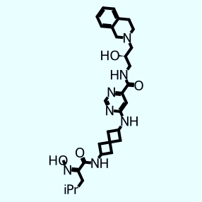 CC(C)C/C(=N/O)C(=O)NC1CC2(C1)CC(Nc1cc(C(=O)NC[C@H](O)CN3CCc4ccccc4C3)ncn1)C2